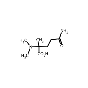 CN(C)C(C)(CCC(N)=O)C(=O)O